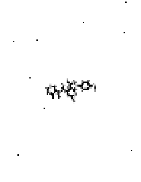 COc1ccc(-n2nc(C)c3c(C(=O)Nc4cncnc4C)cc(C)nc32)cc1